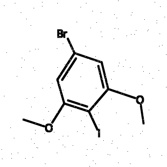 COc1cc(Br)cc(OC)c1I